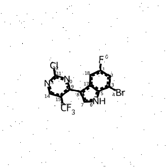 Fc1cc(Br)c2[nH]cc(-c3nc(Cl)ncc3C(F)(F)F)c2c1